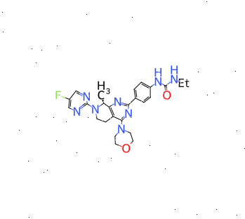 CCNC(=O)Nc1ccc(-c2nc3c(c(N4CCOCC4)n2)CCN(c2ncc(F)cn2)[C@H]3C)cc1